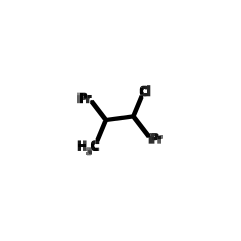 CC(C)C(C)C(Cl)C(C)C